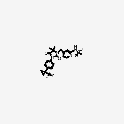 CC1(C)C(=O)N(c2ccc(C3(C(F)(F)F)CC3)cc2)C(=O)N1Cc1ccnc(NS(C)(=O)=O)c1